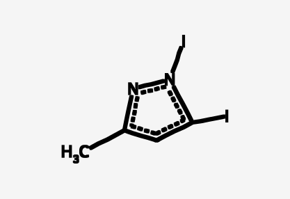 Cc1cc(I)n(I)n1